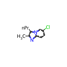 CCCc1c(C)nc2ccc(Cl)cn12